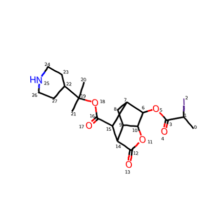 CC(I)C(=O)OC1C2CC3C1OC(=O)C3C2C(=O)OC(C)(C)C1CCNCC1